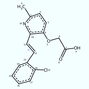 Cc1ccc(OCC(=O)O)c(/C=C/c2ccccc2Cl)n1